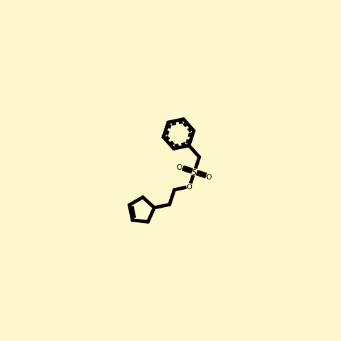 O=S(=O)(Cc1ccccc1)OCCC1CC=CC1